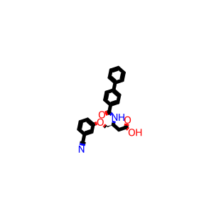 N#Cc1cccc(OC[C@@H](CC(=O)O)NC(=O)c2ccc(-c3ccccc3)cc2)c1